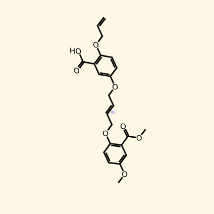 C=CCOc1ccc(OC/C=C/COc2ccc(OC)cc2C(=O)OC)cc1C(=O)O